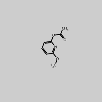 COc1cccc(OC(C)=O)n1